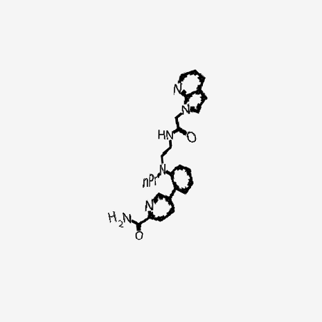 CCCN(CCNC(=O)Cn1ccc2cccnc21)c1ccccc1-c1ccc(C(N)=O)nc1